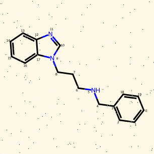 c1ccc(CNCCCn2cnc3ccccc32)cc1